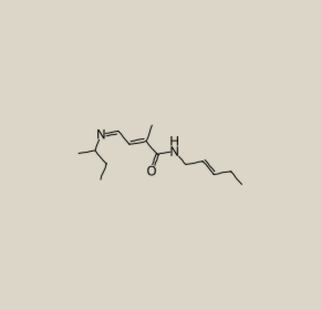 CC/C=C/CNC(=O)/C(C)=C/C=N\C(C)CC